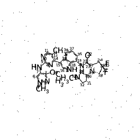 COc1nn(C)cc1Nc1ncc(C)c(-c2c[nH]c3c(NC(=O)[C@H]4CC(F)(F)CN4[C@@H]4CCN(C)C4)cccc23)n1